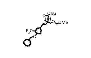 COCOCC(C)(C=Cc1ccc(OCc2ccccc2)c(C(F)(F)F)c1)NC(=O)OCC(C)C